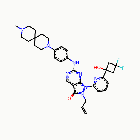 C=CCn1c(=O)c2cnc(Nc3ccc(N4CCC5(CCN(C)CC5)CC4)cc3)nc2n1-c1cccc(C2(O)CC(F)(F)C2)n1